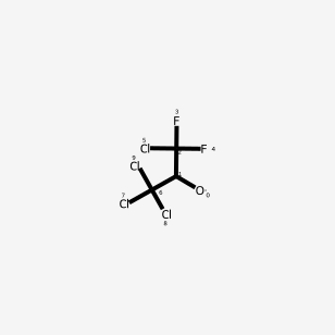 [O]C(C(F)(F)Cl)C(Cl)(Cl)Cl